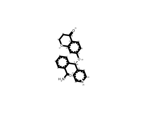 NC(=O)c1ccccc1[C@H](Oc1ccc2c(c1)OCCC2=O)c1ccncc1